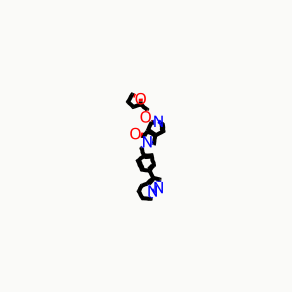 O=C1c2c(ccnc2OCC2CCCO2)CN1Cc1ccc(-c2cnn3c2CCCC3)cc1